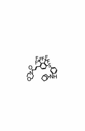 O=C(/C=C/c1ccc(Sc2cccc(NC3CC4CCC3C4)c2)c(C(F)(F)F)c1C(F)(F)F)N1CCOCC1